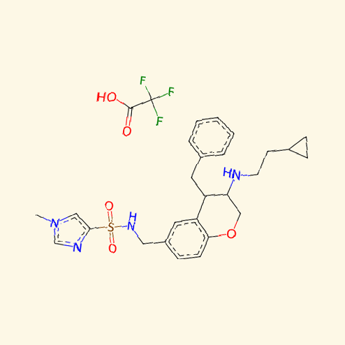 Cn1cnc(S(=O)(=O)NCc2ccc3c(c2)C(Cc2ccccc2)C(NCCC2CC2)CO3)c1.O=C(O)C(F)(F)F